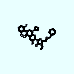 CCn1c(COCc2ccccc2)nn(-c2nc3c(cc2F)C(=O)N(c2c(F)cccc2Cl)CN3C2CCC2)c1=O